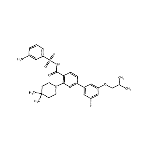 CC(C)COc1cc(F)cc(-c2ccc(C(=O)NS(=O)(=O)c3cccc(N)c3)c(N3CCC(C)(C)CC3)n2)c1